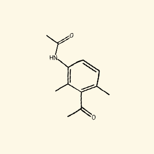 CC(=O)Nc1ccc(C)c(C(C)=O)c1C